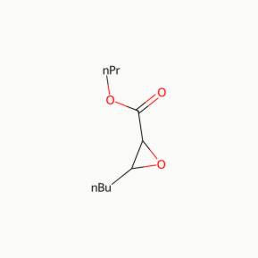 CCCCC1OC1C(=O)OCCC